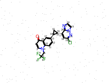 O=c1ccn(CC(F)(F)F)c2ccc([C@H]3C[C@@H]3c3cc(Cl)nn4ccnc34)cc12